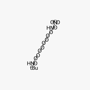 CC(C)(C)CCNC(=O)CCOCCOCCOCCOCCOCCOCCOCCOCCNC(=O)CCN1C(=O)CCC1=O